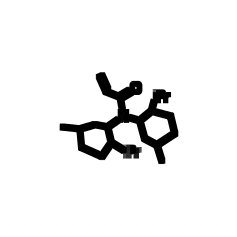 C=CC(=O)N(C1CC(C)CCC1C(C)C)C1CC(C)CCC1C(C)C